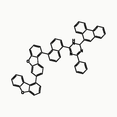 c1ccc(C2=NC(c3cc4ccccc4c4ccccc34)NC(c3cccc4c(-c5cccc6oc7cc(-c8cccc9oc%10ccccc%10c89)ccc7c56)cccc34)=N2)cc1